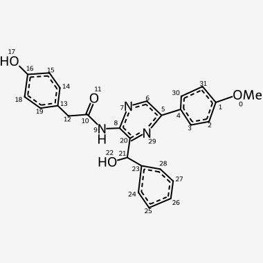 COc1ccc(-c2cnc(NC(=O)Cc3ccc(O)cc3)c(C(O)c3ccccc3)n2)cc1